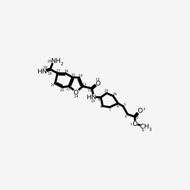 COC(=O)CCC1CCC(NC(=O)c2cc3cc(C(=N)N)ccc3o2)CC1